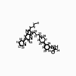 CCCCc1nc2cc(-c3ccccn3)c(C)nc2n1CCCN1CCC(c2cccc(NC(C)=O)c2)CC1